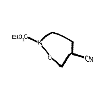 CCOC(=O)N1CCC(C#N)CO1